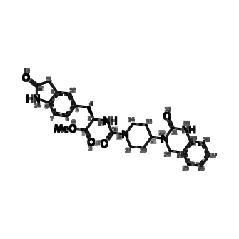 COC(=O)[C@@H](Cc1ccc2c(c1)CC(=O)N2)NC(=O)N1CCC(N2Cc3ccccc3NC2=O)CC1